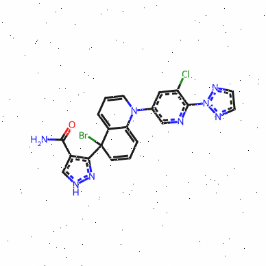 NC(=O)c1c[nH]nc1C1(Br)C=CC=C2C1=CC=CN2c1cnc(-n2nccn2)c(Cl)c1